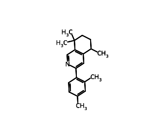 Cc1ccc(-c2cc3c(cn2)C(C)(C)CCC3C)c(C)c1